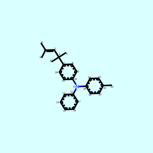 CC(C)=CC(C)(C)c1ccc(N(c2ccccc2)c2ccc(C)cc2)cc1